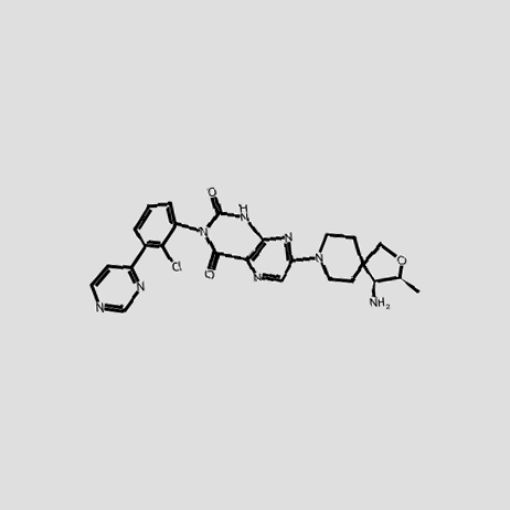 C[C@@H]1OCC2(CCN(c3cnc4c(=O)n(-c5cccc(-c6ccncn6)c5Cl)c(=O)[nH]c4n3)CC2)[C@@H]1N